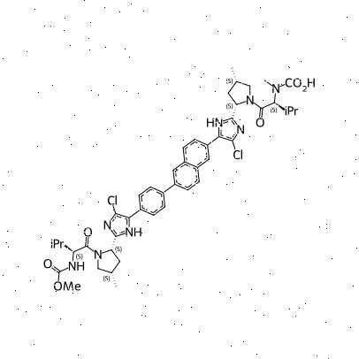 COC(=O)N[C@H](C(=O)N1C[C@@H](C)C[C@H]1c1nc(Cl)c(-c2ccc(-c3ccc4cc(-c5[nH]c([C@@H]6C[C@H](C)CN6C(=O)[C@H](C(C)C)N(C)C(=O)O)nc5Cl)ccc4c3)cc2)[nH]1)C(C)C